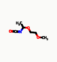 COCCOC(C)N=C=O